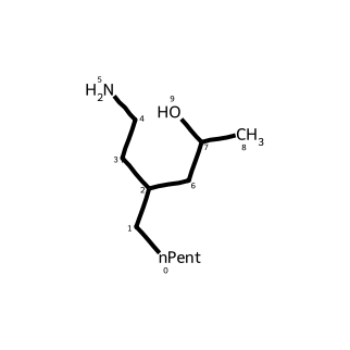 CCCCCCC([CH]CN)CC(C)O